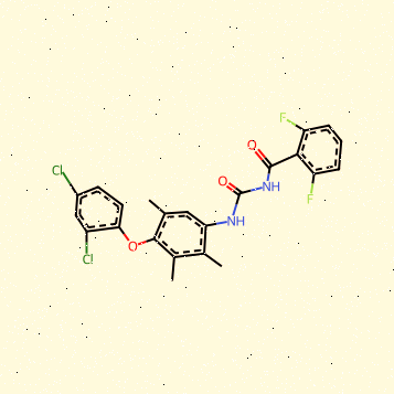 Cc1cc(NC(=O)NC(=O)c2c(F)cccc2F)c(C)c(C)c1Oc1ccc(Cl)cc1Cl